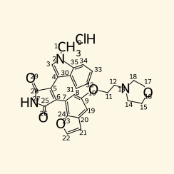 Cl.Cn1cc(C2=C(c3cc(OCCN4CCOCC4)cc4ccoc34)C(=O)NC2=O)c2ccccc21